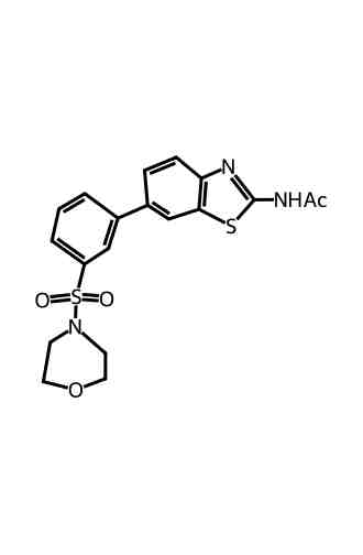 CC(=O)Nc1nc2ccc(-c3cccc(S(=O)(=O)N4CCOCC4)c3)cc2s1